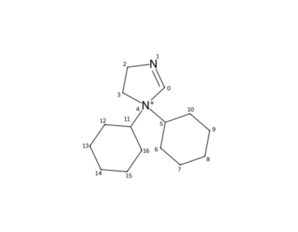 C1=NCC[N+]1(C1CCCCC1)C1CCCCC1